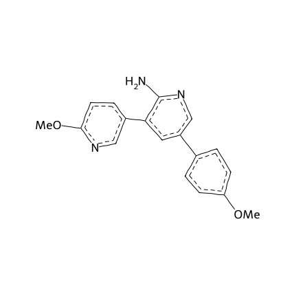 COc1ccc(-c2cnc(N)c(-c3ccc(OC)nc3)c2)cc1